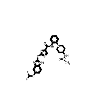 C[S+]([O-])NC1CCN(c2ccccc2NC(=O)c2csc(Sc3nc4cc(OC(F)F)ccc4[nH]3)n2)CC1